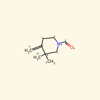 C=C1CCN(C=O)CC1(C)C